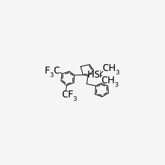 C[SiH](C)C1=CCC(c2cc(C(F)(F)F)cc(C(F)(F)F)c2)=C1Cc1ccccc1